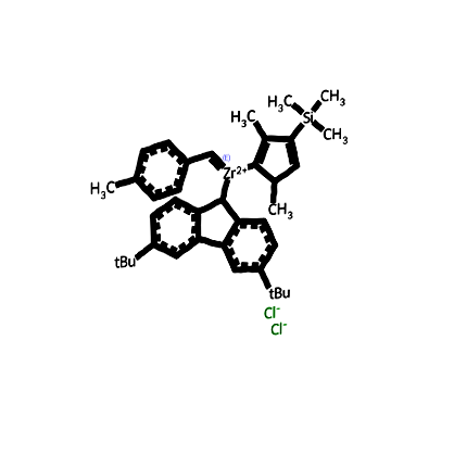 CC1=[C](/[Zr+2](=[CH]/c2ccc(C)cc2)[CH]2c3ccc(C(C)(C)C)cc3-c3cc(C(C)(C)C)ccc32)C(C)C=C1[Si](C)(C)C.[Cl-].[Cl-]